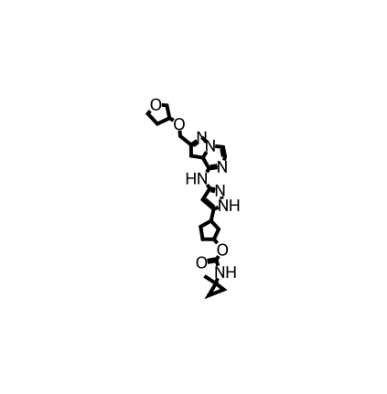 CC1(NC(=O)OC2CCC(c3cc(NC4=NC=CN5N=C(COC6CCOC6)CC45)n[nH]3)C2)CC1